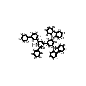 C1=C(c2cc(-n3c4ccccc4c4ccccc43)cc(-n3c4ccccc4c4ccccc43)c2)N=C(c2ccccc2)NC1c1cccc(-c2ccccc2)c1